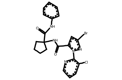 O=C(NC1(C(=O)Nc2ccccc2)CCCC1)c1cc(Br)nn1-c1ncccc1Cl